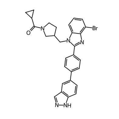 O=C(C1CC1)N1CCC(Cn2c(-c3ccc(-c4ccc5[nH]ncc5c4)cc3)nc3c(Br)cccc32)C1